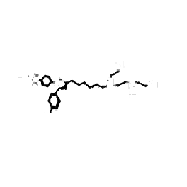 NS(=O)(=O)c1ccc(-n2nc(CCCCCCN(CCS)CCNCCS)cc2-c2ccc(Cl)cc2)cc1